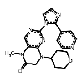 CN1C(=O)CN(C2CCOCC2)c2nc(-n3ccnc3-c3ccncc3)ncc21